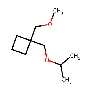 COCC1(COC(C)C)CCC1